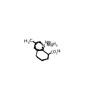 Br.Cc1cnc2c(c1)CCCC2C(=O)O.[MgH2]